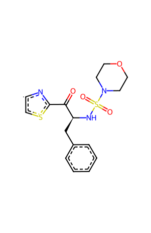 O=C(c1n[c]cs1)[C@H](Cc1ccccc1)NS(=O)(=O)N1CCOCC1